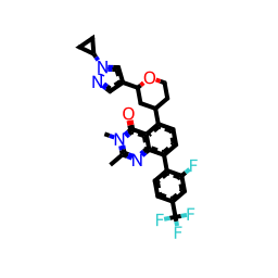 Cc1nc2c(-c3ccc(C(F)(F)F)cc3F)ccc(C3CCOC(c4cnn(C5CC5)c4)C3)c2c(=O)n1C